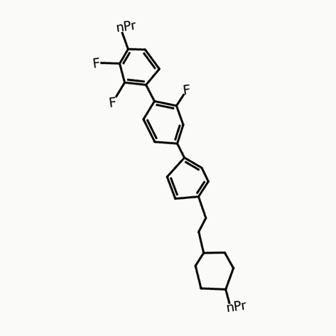 CCCc1ccc(-c2ccc(-c3ccc(CCC4CCC(CCC)CC4)cc3)cc2F)c(F)c1F